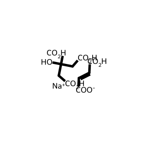 O=C(O)CC(O)(CC(=O)O)C(=O)O.O=C([O-])C=CC(=O)O.[Na+]